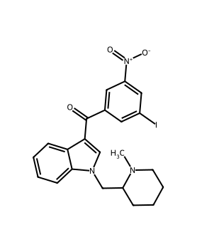 CN1CCCCC1Cn1cc(C(=O)c2cc(I)cc([N+](=O)[O-])c2)c2ccccc21